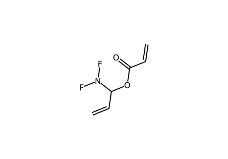 C=CC(=O)OC(C=C)N(F)F